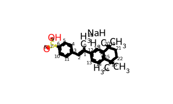 CC(=Cc1ccc(S(=O)O)cc1)c1ccc2c(c1)C(C)(C)CCC2(C)C.[NaH]